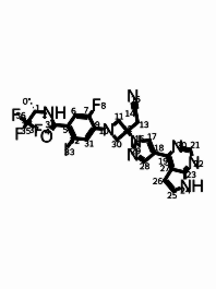 C[C@H](NC(=O)c1cc(F)c(N2CC(CC#N)(n3cc(-c4ncnc5[nH]ccc45)cn3)C2)cc1I)C(F)(F)F